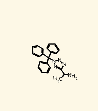 CC(N)c1nnn(C(c2ccccc2)(c2ccccc2)c2ccccc2)n1